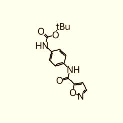 CC(C)(C)OC(=O)Nc1ccc(NC(=O)c2ccno2)cc1